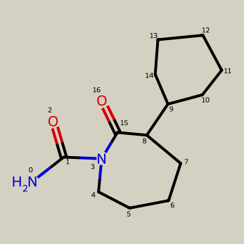 NC(=O)N1CCCCC(C2CCCCC2)C1=O